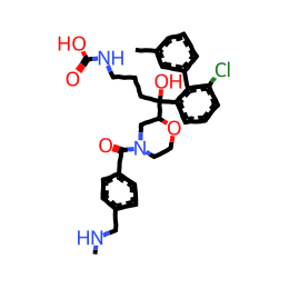 CNCc1ccc(C(=O)N2CCOC(C(O)(CCCNC(=O)O)c3cccc(Cl)c3-c3cccc(C)c3)C2)cc1